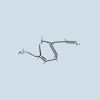 Cc1ccc([C]=S)s1